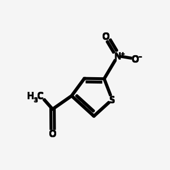 CC(=O)c1csc([N+](=O)[O-])c1